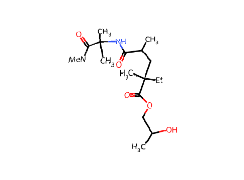 CCC(C)(CC(C)C(=O)NC(C)(C)C(=O)NC)C(=O)OCC(C)O